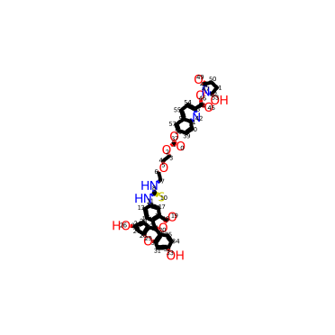 O=C(OCCOCCNC(=S)Nc1ccc2c(c1)C(=O)OC21c2ccc(O)cc2Oc2cc(O)ccc21)Oc1ccc2nc(C(=O)ON3C(=O)CCC3O)ccc2c1